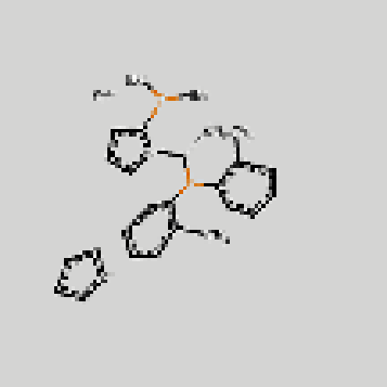 Cc1ccccc1P(c1ccccc1C)[C@@H](C)[c-]1cccc1P(C(C)(C)C)C(C)(C)C.[Fe+2].c1cc[cH-]c1